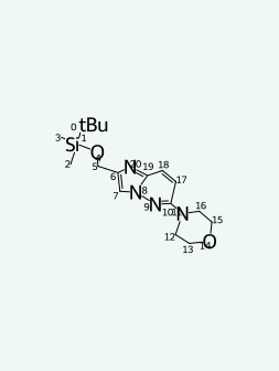 CC(C)(C)[Si](C)(C)OCc1cn2nc(N3CCOCC3)ccc2n1